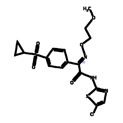 COCCO/N=C(/C(=O)Nc1ncc(Cl)s1)c1ccc(S(=O)(=O)C2CC2)cc1